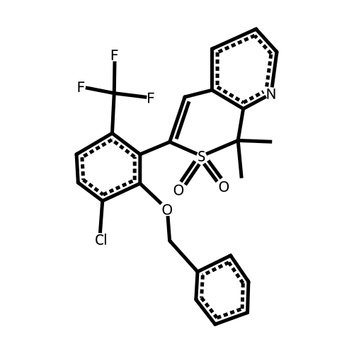 CC1(C)c2ncccc2C=C(c2c(C(F)(F)F)ccc(Cl)c2OCc2ccccc2)S1(=O)=O